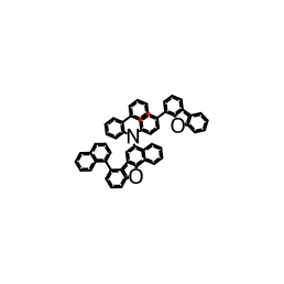 c1ccc(-c2ccccc2N(c2ccc(-c3cccc4c3oc3ccccc34)cc2)c2cc3c(oc4cccc(-c5cccc6ccccc56)c43)c3ccccc23)cc1